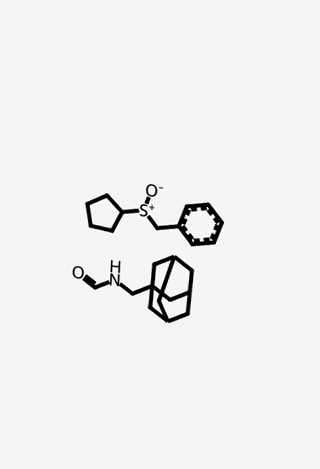 O=CNCC12CC3CC(CC(C3)C1)C2.[O-][S+](Cc1ccccc1)C1CCCC1